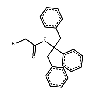 O=C(CBr)NC(Cc1ccccc1)(Cc1ccccc1)c1ccccc1